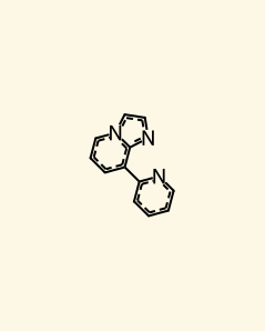 c1ccc(-c2cccn3ccnc23)nc1